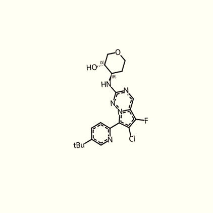 CC(C)(C)c1ccc(-c2c(Cl)c(F)c3cnc(N[C@@H]4CCOC[C@H]4O)nn23)nc1